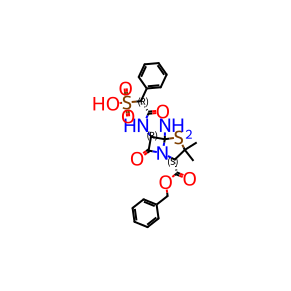 CC1(C)SC2(N)[C@H](NC(=O)[C@@H](c3ccccc3)S(=O)(=O)O)C(=O)N2[C@H]1C(=O)OCc1ccccc1